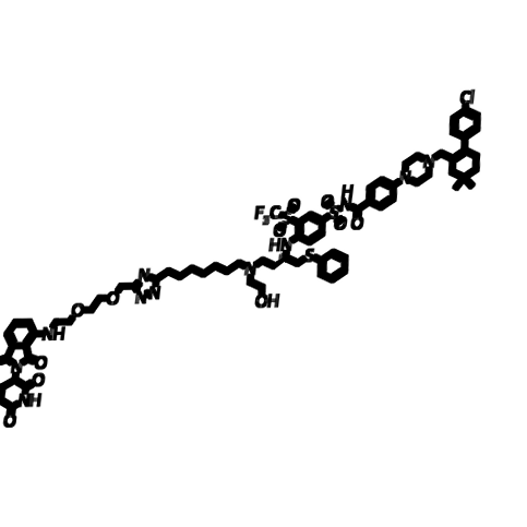 CC1(C)CCC(c2ccc(Cl)cc2)=C(CN2CCN(c3ccc(C(=O)NS(=O)(=O)c4ccc(N[C@H](CCN(CCO)CCCCCCCC5N=NC(COCCOCCNc6cccc7c6C(=O)N(C6CCC(=O)NC6=O)C7=O)=N5)CSc5ccccc5)c(S(=O)(=O)C(F)(F)F)c4)cc3)CC2)C1